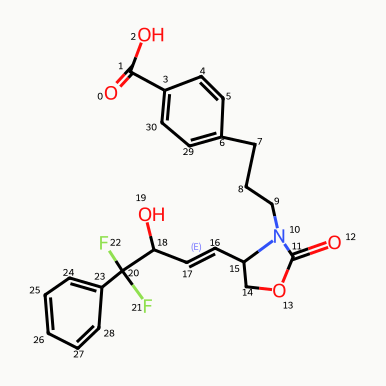 O=C(O)c1ccc(CCCN2C(=O)OCC2/C=C/C(O)C(F)(F)c2ccccc2)cc1